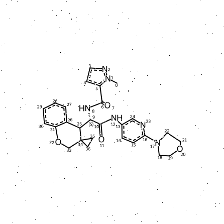 Cn1nccc1C(=O)N[C@H](C(=O)Nc1ccc(N2CCOCC2)nc1)C1c2ccccc2OCC12CC2